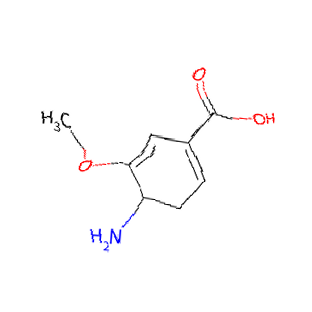 COC1=CC(C(=O)O)=CCC1N